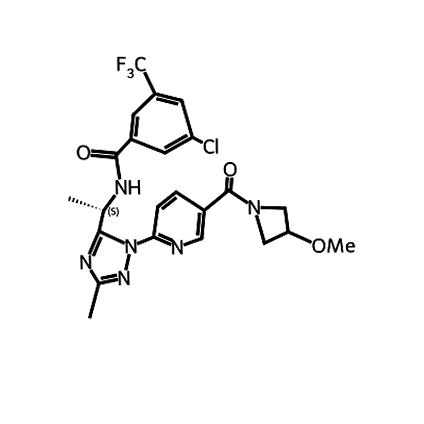 COC1CN(C(=O)c2ccc(-n3nc(C)nc3[C@H](C)NC(=O)c3cc(Cl)cc(C(F)(F)F)c3)nc2)C1